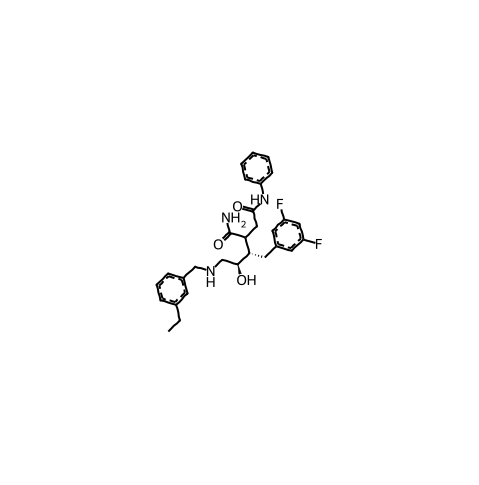 CCc1cccc(CNC[C@H](O)[C@@H](Cc2cc(F)cc(F)c2)C(CC(=O)Nc2ccccc2)C(N)=O)c1